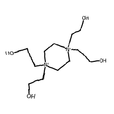 OCC[N+]1(CCO)CC[N+](CCO)(CCO)CC1